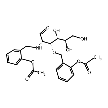 CC(=O)Oc1ccccc1CN[C@H](C=O)[C@@H](OCc1ccccc1OC(C)=O)[C@H](O)[C@H](O)CO